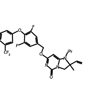 C=CC1(C)Cn2c(cc(OCc3cc(F)c(Oc4cccc(C(F)(F)F)c4)c(F)c3)nc2=O)N1C(C)C